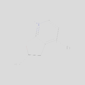 CC1Cc2c(C(C)C)ccnc2O1